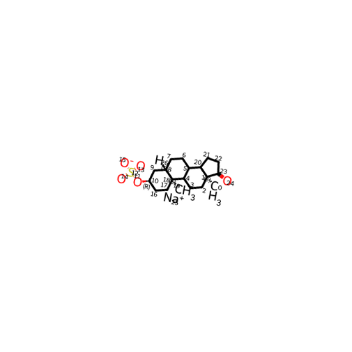 C[C@]12CCC3C(CC[C@H]4C[C@H](OS(=O)(=O)[O-])CC[C@]34C)C1CCC2=O.[Na+]